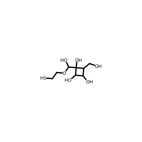 OCC1C(O)C(O)C1(O)C(O)OCCS